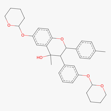 Cc1ccc(C2Oc3ccc(OC4CCCCO4)cc3C(C)(O)C2c2cccc(OC3CCCCO3)c2)cc1